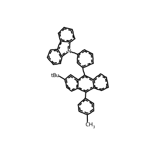 Cc1ccc(-c2c3ccccc3c(-c3cccc(-n4c5ccccc5c5ccccc54)c3)c3cc(C(C)(C)C)ccc23)cc1